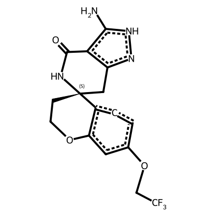 Nc1[nH]nc2c1C(=O)N[C@]1(CCOc3cc(OCC(F)(F)F)ccc31)C2